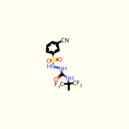 CC(NC(=O)NNS(=O)(=O)c1cccc(C#N)c1)(C(F)(F)F)C(F)(F)F